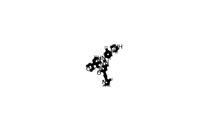 CC1=C(C#Cc2cc3cnc(Nc4ccc(N5CCNCC5)c(C)c4)nc3n(Cc3cnccc3C3CCOCC3)c2=O)N=CC1